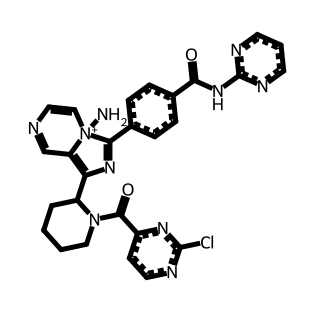 N[N+]12C=CN=CC1=C(C1CCCCN1C(=O)c1ccnc(Cl)n1)N=C2c1ccc(C(=O)Nc2ncccn2)cc1